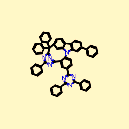 c1ccc(-c2ccc3c4ccc5cc4n(c3c2)-c2ccc(-c3nc(-c4ccccc4)nc(-c4ccccc4)n3)cc2-c2nc(-c3ccccc3)nc(n2)C5(c2ccccc2)c2ccccc2)cc1